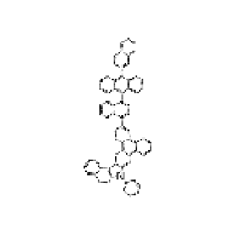 c1ccc(-n2c3cc4c5ccccc5c5cc(-c6ccc(-c7c8ccccc8c(-c8ccc9ccccc9c8)c8ccccc78)c7ccccc67)ccc5c4cc3c3c4ccccc4ccc32)cc1